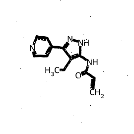 C=CC(=O)Nc1[nH]nc(-c2ccncc2)c1CC